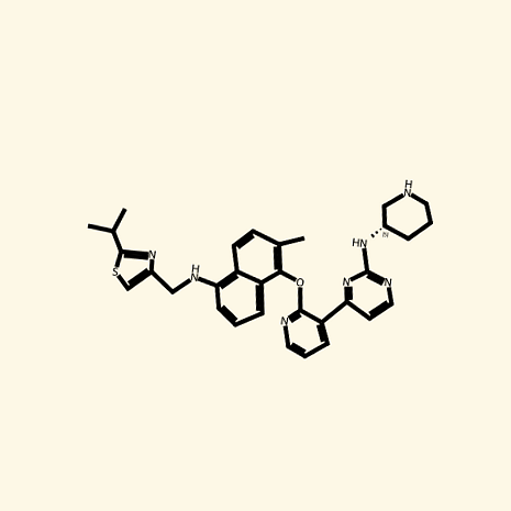 Cc1ccc2c(NCc3csc(C(C)C)n3)cccc2c1Oc1ncccc1-c1ccnc(N[C@H]2CCCNC2)n1